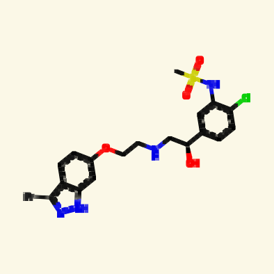 CC(C)c1n[nH]c2cc(OCCNC[C@H](O)c3ccc(Cl)c(NS(C)(=O)=O)c3)ccc12